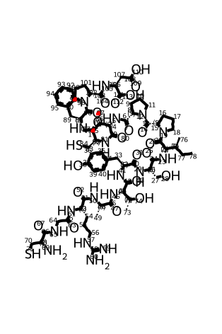 CC[C@H](C)[C@H](NC(=O)[C@@H]1CCCN1C(=O)[C@@H]1CCCN1C(=O)[C@@H](NC(=O)[C@H](CO)NC(=O)[C@H](Cc1ccc(O)cc1)NC(=O)[C@@H](NC(=O)[C@H](C)NC(=O)[C@H](CCCNC(=N)N)NC(=O)CNC(=O)[C@@H](N)CS)[C@@H](C)O)[C@@H](C)CC)C(=O)N[C@@H](CS)C(=O)N[C@@H](Cc1ccccc1)C(=O)N1CCC[C@H]1C(=O)N[C@@H](CC(=O)O)C(=O)O